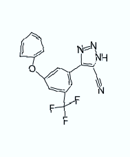 N#Cc1[nH]nnc1-c1cc(Oc2ccccc2)cc(C(F)(F)F)c1